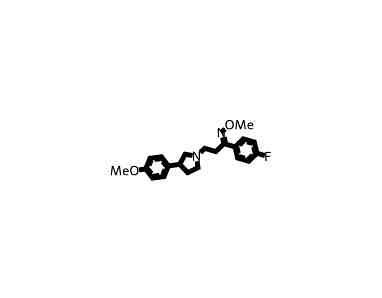 CON=C(CCN1CCC(c2ccc(OC)cc2)C1)c1ccc(F)cc1